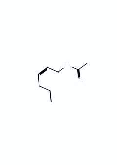 [CH2]C[C@H](C)/C=C\COC(C)=O